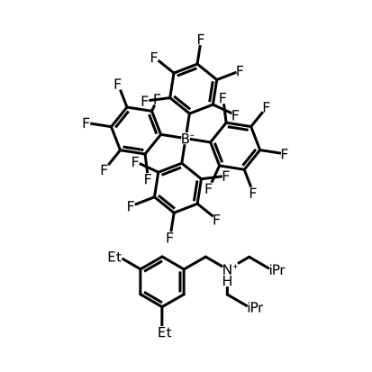 CCc1cc(CC)cc(C[NH+](CC(C)C)CC(C)C)c1.Fc1c(F)c(F)c([B-](c2c(F)c(F)c(F)c(F)c2F)(c2c(F)c(F)c(F)c(F)c2F)c2c(F)c(F)c(F)c(F)c2F)c(F)c1F